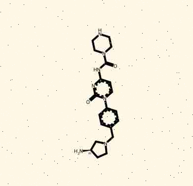 N[C@@H]1CCN(Cc2ccc(-n3ccc(NC(=O)N4CCNCC4)nc3=O)cc2)C1